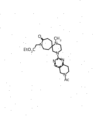 CCOC(=O)CN1CCC2(CCC1=O)CN(c1ncc3c(n1)CCN(C(C)=O)C3)CCN2C